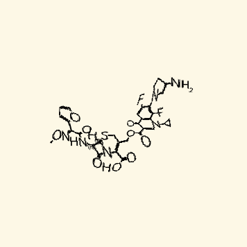 CON=C(C(=O)N[C@@H]1C(=O)N2C(C(=O)O)=C(COC(=O)c3cn(C4CC4)c4c(F)c(N5CCC(N)C5)c(F)cc4c3=O)CS[C@H]12)c1ccco1